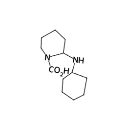 O=C(O)N1CCCCC1NC1CCCCC1